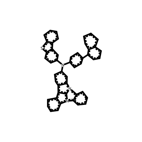 c1ccc2c(-c3ccc(N(c4ccc5sc6ccccc6c5c4)c4ccc5c6c7ccccc7n7c8ccccc8n(c5c4)c67)cc3)cccc2c1